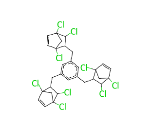 ClC1C(Cc2cc(CC3C(Cl)C4(Cl)C=CC3(Cl)C4)cc(CC3C(Cl)C4(Cl)C=CC3(Cl)C4)c2)C2(Cl)C=CC1(Cl)C2